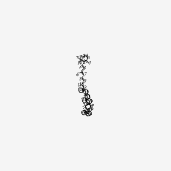 CC1=C(/C=C/C(C)=C/C=C/C(C)=C/C(=O)OCOC(=O)Oc2ccc([N+](=O)[O-])cc2)C(C)(C)CCC1